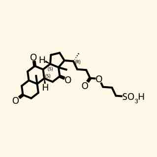 C[C@H](CCC(=O)OCCCS(=O)(=O)O)C1CC[C@H]2C3C(=O)CC4CC(=O)CCC4(C)[C@H]3CC(=O)C12C